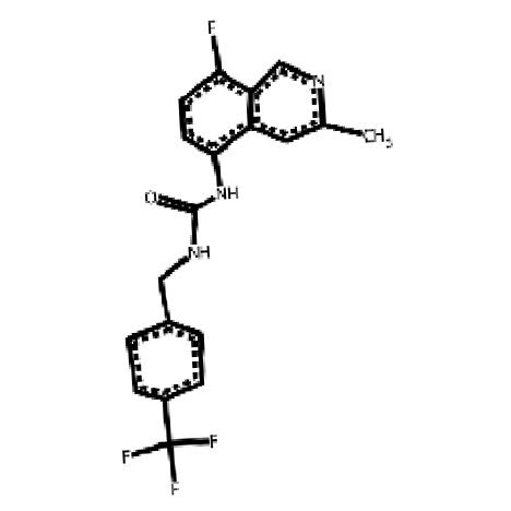 Cc1cc2c(NC(=O)NCc3ccc(C(F)(F)F)cc3)ccc(F)c2cn1